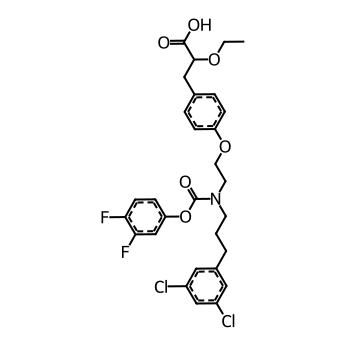 CCOC(Cc1ccc(OCCN(CCCc2cc(Cl)cc(Cl)c2)C(=O)Oc2ccc(F)c(F)c2)cc1)C(=O)O